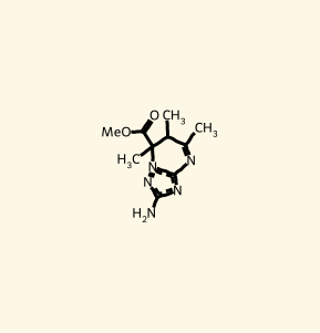 COC(=O)C1(C)C(C)C(C)=Nc2nc(N)nn21